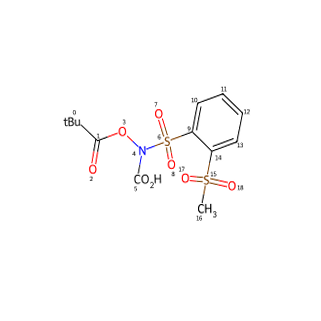 CC(C)(C)C(=O)ON(C(=O)O)S(=O)(=O)c1ccccc1S(C)(=O)=O